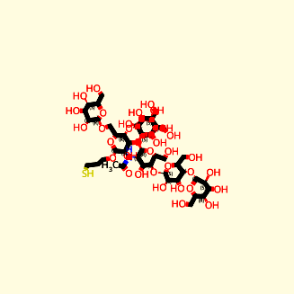 CC(=O)N[C@H]1C(O)[C@H](O[C@@H]2OC(CO)[C@H](O[C@H]3OC(CO)[C@H](O)C(O)[C@@H]3O)C(O)[C@@H]2O)C(CO)O[C@@H]1O[C@H]1C(O)[C@H](O)C(CO)O[C@H]1O[C@@H]1C(CO[C@@H]2OC(CO)[C@@H](O)C(O)[C@@H]2O)O[C@H](OCCCS)[C@@H](O)C1O[C@@H]1OC(CO)[C@@H](O)C(O)[C@@H]1O